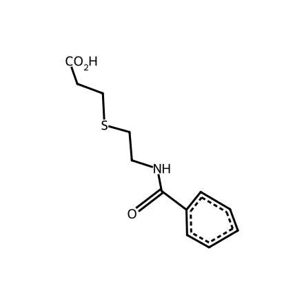 O=C(O)CCSCCNC(=O)c1ccccc1